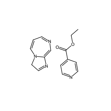 C1=CN2CC=NC2=CN=C1.CCOC(=O)c1ccncc1